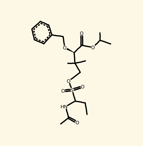 CCC(NC(C)=O)S(=O)(=O)OCC(C)(C)[C@@H](OCc1ccccc1)C(=O)OC(C)C